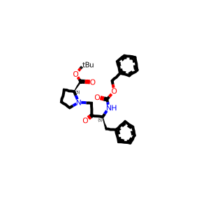 CC(C)(C)OC(=O)[C@@H]1CCCN1CC(=O)[C@H](Cc1ccccc1)NC(=O)OCc1ccccc1